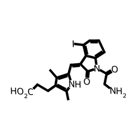 Cc1[nH]c(C=C2C(=O)N(C(=O)CN)c3cccc(I)c32)c(C)c1CCC(=O)O